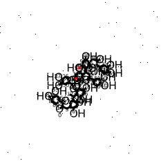 COC1Cc2c(O)cc(O)c(C(C)c3c(O)cc(O)c4c3OC3(c5ccc(O)c(O)c5)Oc5cc(O)c6c(c5C4C3O)OC(c3ccc(O)c(O)c3)C(O)C6c3c(O)cc(O)c4c3OC(c3ccc(O)c(O)c3)C(O)C4)c2OC1c1ccc(O)c(O)c1